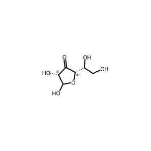 O=C1[C@@H](O)C(O)O[C@H]1C(O)CO